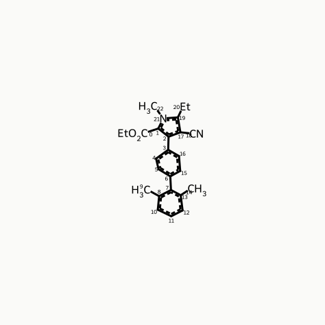 CCOC(=O)c1c(-c2ccc(-c3c(C)cccc3C)cc2)c(C#N)c(CC)n1C